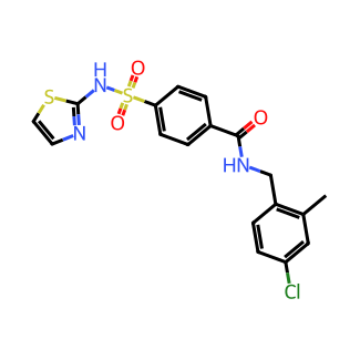 Cc1cc(Cl)ccc1CNC(=O)c1ccc(S(=O)(=O)Nc2nccs2)cc1